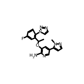 CC(Oc1cc(-c2ccnn2C)cnc1N)c1cc(F)ccc1-n1ccnn1